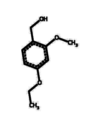 CCOc1ccc(CO)c(OC)c1